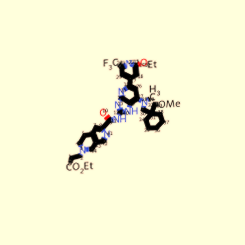 CCOC(=O)CCN1CCc2cc(C(=O)Nc3nc4nc(-c5cc(OCC)nc(C(F)(F)F)c5)cc(N(C)CC5(COC)CCCCC5)c4[nH]3)ncc2C1